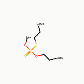 CCCCCCCCCCCCOP(=S)([O][Mo])SCCCCCCCCCCCC